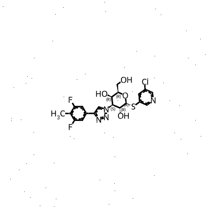 Cc1c(F)cc(-c2cn([C@@H]3[C@@H](O)[C@@H](Sc4cncc(Cl)c4)O[C@H](CO)[C@@H]3O)nn2)cc1F